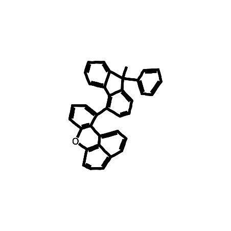 CC1(c2ccccc2)c2ccccc2-c2c(-c3cccc4c3-c3cccc5cccc(c35)O4)cccc21